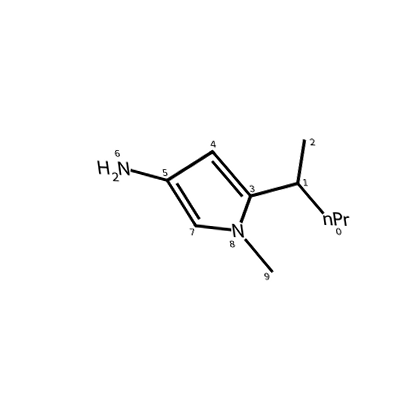 CCCC(C)c1cc(N)cn1C